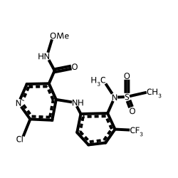 CONC(=O)c1cnc(Cl)cc1Nc1cccc(C(F)(F)F)c1N(C)S(C)(=O)=O